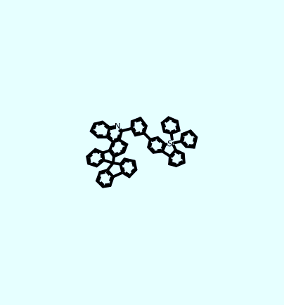 c1ccc([Si]2(c3ccccc3)c3ccccc3-c3ccc(-c4cccc(-c5nc6ccccc6c6c7c(ccc56)C5(c6ccccc6-c6ccccc65)c5ccccc5-7)c4)cc32)cc1